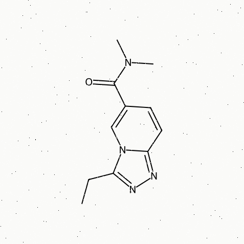 CCc1nnc2ccc(C(=O)N(C)C)cn12